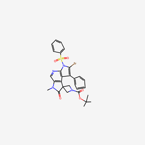 CN1C(=O)C2(CN(C(=O)OC(C)(C)C)C2)c2c1cnc1c2c(-c2ccccc2)c(Br)n1S(=O)(=O)c1ccccc1